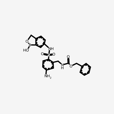 Nc1ccc(S(=O)(=O)Nc2ccc3c(c2)B(O)OC3)c(CNC(=O)OCc2ccccc2)c1